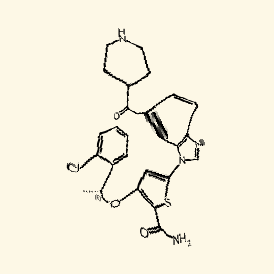 C[C@@H](Oc1cc(-n2cnc3ccc(C(=O)C4CCNCC4)cc32)sc1C(N)=O)c1ccccc1Cl